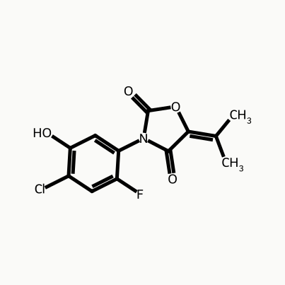 CC(C)=C1OC(=O)N(c2cc(O)c(Cl)cc2F)C1=O